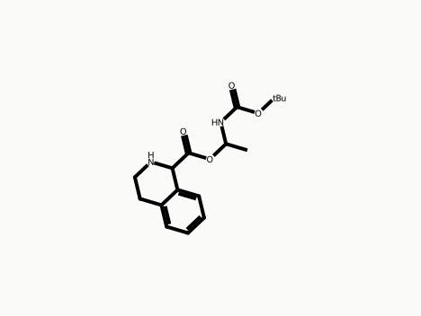 CC(NC(=O)OC(C)(C)C)OC(=O)C1NCCc2ccccc21